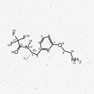 C[C@@H](Cc1cccc(OCCN)c1)N(C)C(=O)C(F)(F)F